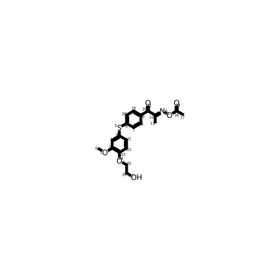 COc1cc(Sc2ccc(C(=O)/C(C)=N/OC(C)=O)cc2)ccc1OCCO